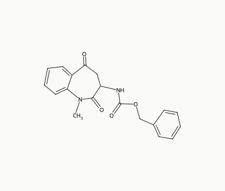 CN1C(=O)C(NC(=O)OCc2ccccc2)CC(=O)c2ccccc21